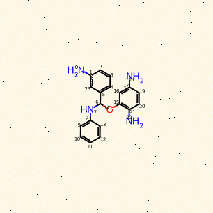 Nc1cccc(C(Nc2ccccc2)Oc2cc(N)ccc2N)c1